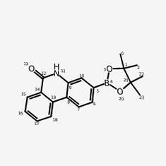 CC1(C)OB(c2ccc3c(c2)[nH]c(=O)c2ccccc23)OC1(C)C